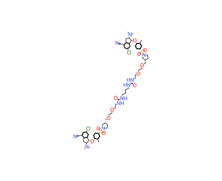 Cc1cc(S(=O)(=O)N2CC[C@@H](COCCOCCNC(=O)NCCCCNC(=O)NCCOCCOC[C@@H]3CCN(S(=O)(=O)c4ccc(O[C@H]5c6cc(Cl)cc(C#N)c6C[C@@H]5N(C)C)c(C)c4)C3)C2)ccc1O[C@H]1c2cc(Cl)cc(C#N)c2C[C@@H]1N(C)C